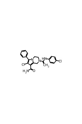 C=C(Nc1ccc(Cl)cc1)N1CCn2c(c(C(N)=O)c(Cl)c2-c2ccccc2)C1